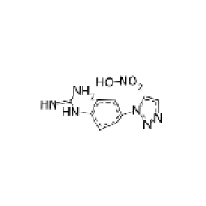 N=C(N)Nc1ccc(-n2ccnn2)cc1.O=[N+]([O-])O